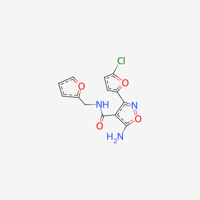 Nc1onc(-c2ccc(Cl)o2)c1C(=O)NCc1ccco1